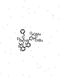 CCOC(COCc1ccccc1)Cn1c(C)nc2nccc(-c3cccc(N[C@H]4C[C@@H](C(=O)OC)N(C(=O)OC(C)(C)C)C4)n3)c21